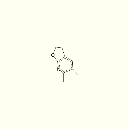 Cc1cc2c(nc1C)OCC2